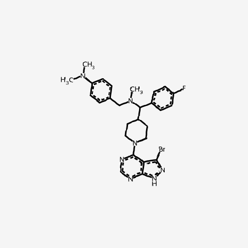 CN(C)c1ccc(CN(C)C(c2ccc(F)cc2)C2CCN(c3ncnc4[nH]nc(Br)c34)CC2)cc1